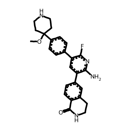 COC1(c2ccc(-c3cc(-c4ccc5c(c4)CCNC5=O)c(N)nc3F)cc2)CCNCC1